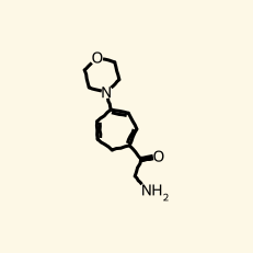 NCC(=O)C1=CC=C(N2CCOCC2)C=CC1